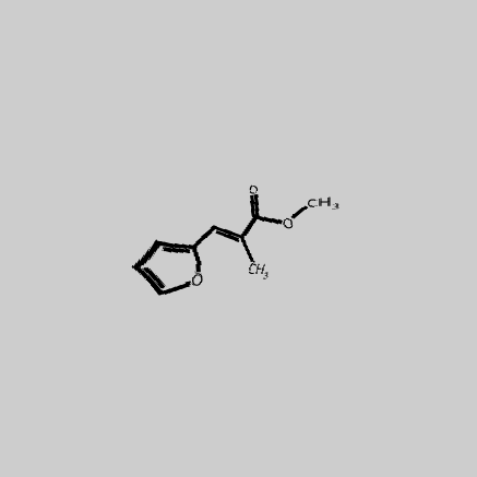 COC(=O)/C(C)=C/c1ccco1